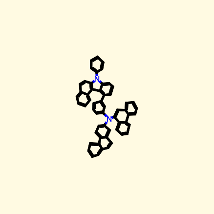 c1ccc(-n2c3cccc(-c4cccc(N(c5ccc6c(ccc7ccccc76)c5)c5cc6ccccc6c6ccccc56)c4)c3c3c4ccccc4ccc32)cc1